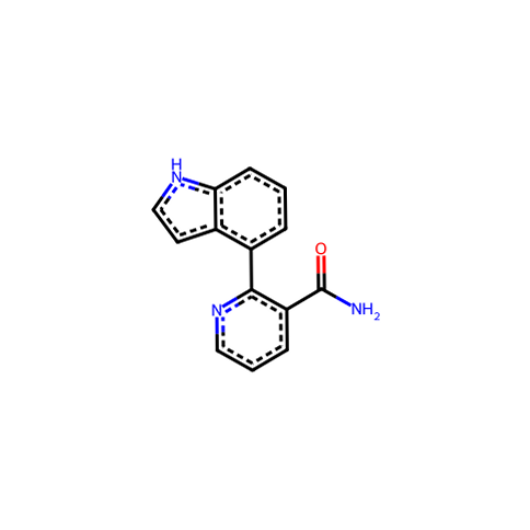 NC(=O)c1cccnc1-c1cccc2[nH]ccc12